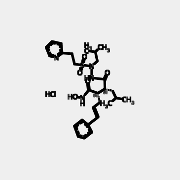 CC(C)C[C@@H](C(=O)NN(CC(C)C)S(=O)(=O)CCc1ccccn1)[C@H](CC=Cc1ccccc1)C(=O)NO.Cl